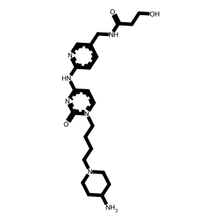 NC1CCN(CCCCn2ccc(Nc3ccc(CNC(=O)CCO)cn3)nc2=O)CC1